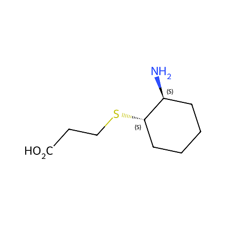 N[C@H]1CCCC[C@@H]1SCCC(=O)O